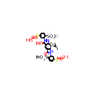 CC1=NN(c2cc(SOOO)ccc2S(=O)(=O)O)C(=O)C1=Cc1c(C)nn(-c2cc(SOOO)ccc2S(=O)(=O)O)c1O